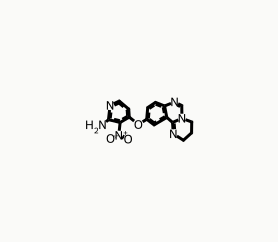 Nc1nccc(Oc2ccc3c(c2)C2=NCCCN2C=N3)c1[N+](=O)[O-]